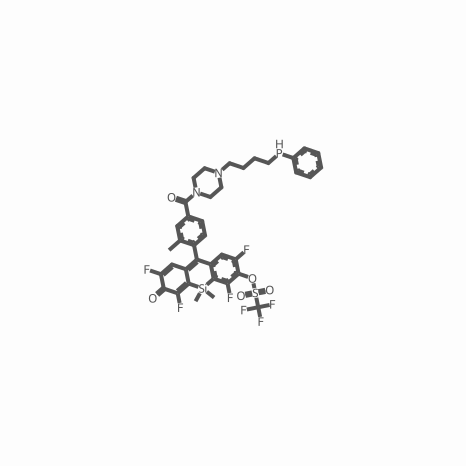 Cc1cc(C(=O)N2CCN(CCCCPc3ccccc3)CC2)ccc1C1=C2C=C(F)C(=O)C(F)=C2[Si](C)(C)c2c1cc(F)c(OS(=O)(=O)C(F)(F)F)c2F